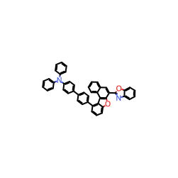 c1ccc(N(c2ccccc2)c2ccc(-c3ccc(-c4cccc5oc6c(-c7nc8ccccc8o7)cc7ccccc7c6c45)cc3)cc2)cc1